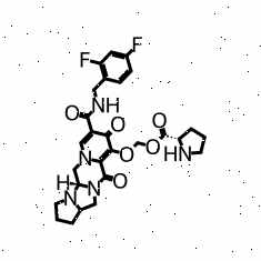 O=C(NCc1ccc(F)cc1F)c1cn2c(c(OCOC(=O)[C@@H]3CCCN3)c1=O)C(=O)N1CC3CCCN3[C@@H]1C2